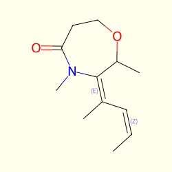 C/C=C\C(C)=C1/C(C)OCCC(=O)N1C